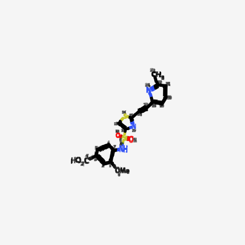 COc1cc(C(=O)O)ccc1NS(=O)(=O)c1csc(C#Cc2cccc(C)n2)n1